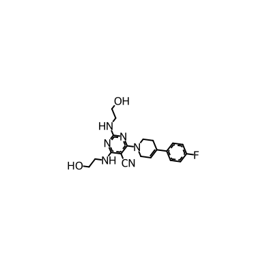 N#Cc1c(NCCO)nc(NCCO)nc1N1CC=C(c2ccc(F)cc2)CC1